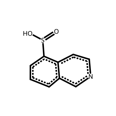 O=S(O)c1cccc2cnccc12